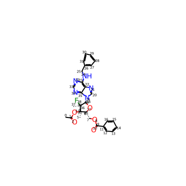 CC(=O)O[C@]1(C)[C@@H](COC(=O)c2ccccc2)O[C@@H](n2cnc3c(NCc4ccccc4)ncnc32)[C@]1(C)F